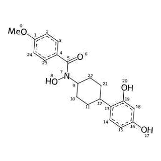 COc1ccc(C(=O)N(O)C2CCC(c3ccc(O)cc3O)CC2)cc1